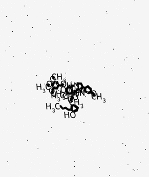 CCCCCc1ccccc1O.COC(=O)[C@H]1[C@H]2C[C@@H]3c4[nH]c5cc(OC)ccc5c4CCN3C[C@H]2C[C@@H](OC(=O)c2cc(OC)c(OC)c(OC)c2)[C@@H]1OC